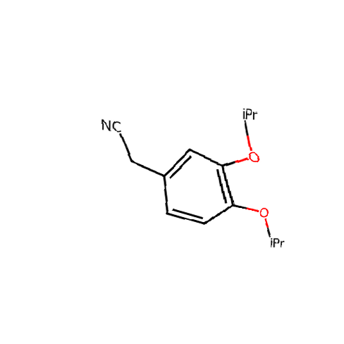 CC(C)Oc1ccc(CC#N)cc1OC(C)C